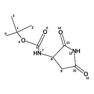 CC(C)(C)OC(=O)NC1CC(=O)NC1=O